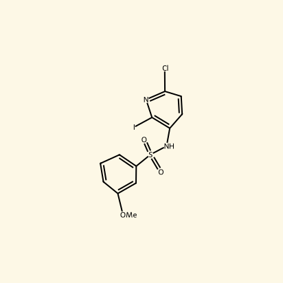 COc1cccc(S(=O)(=O)Nc2ccc(Cl)nc2I)c1